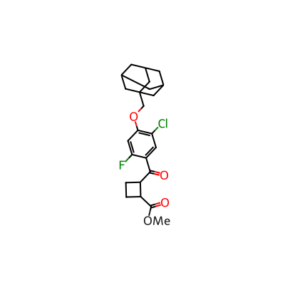 COC(=O)C1CCC1C(=O)c1cc(Cl)c(OCC23CC4CC(CC(C4)C2)C3)cc1F